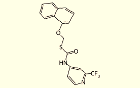 O=C(Nc1ccnc(C(F)(F)F)c1)SCOc1cccc2ccccc12